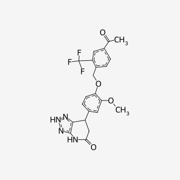 COc1cc(C2CC(=O)Nc3n[nH]nc32)ccc1OCc1ccc(C(C)=O)cc1C(F)(F)F